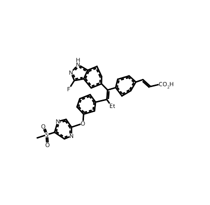 CCC(=C(c1ccc(C=CC(=O)O)cc1)c1ccc2[nH]nc(F)c2c1)c1cccc(Oc2cnc(S(C)(=O)=O)cn2)c1